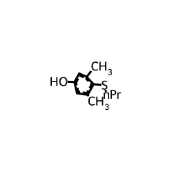 CCCSc1c(C)cc(O)cc1C